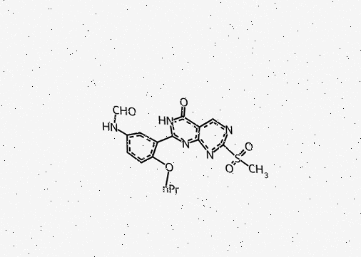 CCCOc1ccc(NC=O)cc1-c1nc2nc(S(C)(=O)=O)ncc2c(=O)[nH]1